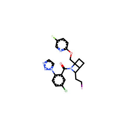 O=C(c1cc(Cl)ccc1-n1ccnn1)N1C(CCI)C2CCC21COc1ccc(F)cn1